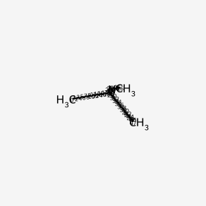 CCCCCCCCCCCCCCCCCCCc1cc[n+](CCCC)cc1CCCCCCCCCCCCCCCCCCC